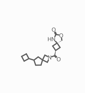 O=C1N[C@]2(CO1)C[C@H](C(=O)N1CC3(CCC(C4CCC4)C3)C1)C2